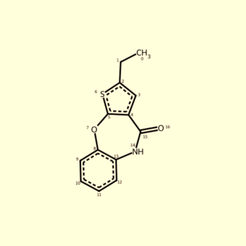 CCc1cc2c(s1)Oc1ccccc1NC2=O